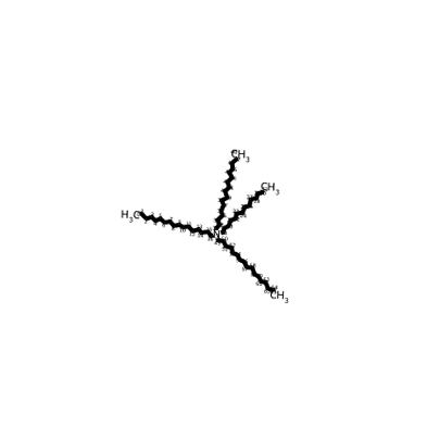 CCCCCCCCCCCCCCCCC[N+](CCCCCCCCCCCCCC)(CCCCCCCCCCCCCCCCC)CCCCCCCCCCCCCCCCC